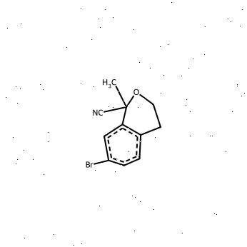 CC1(C#N)OCCc2ccc(Br)cc21